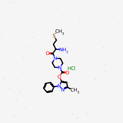 CSCCC(N)C(=O)N1CCN(C(=O)Oc2cc(C)nn2-c2ccccc2)CC1.Cl